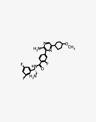 COC1CCC(c2cnc(N)c(-c3ccc(C(=O)N[C@H](CN)c4cc(F)cc(I)c4)c(F)c3)n2)CC1